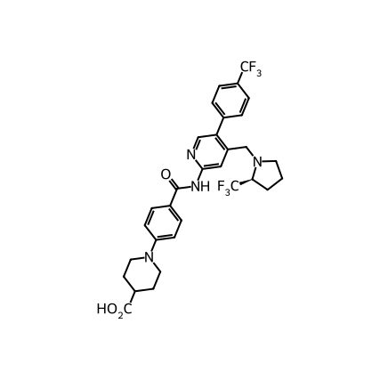 O=C(Nc1cc(CN2CCC[C@H]2C(F)(F)F)c(-c2ccc(C(F)(F)F)cc2)cn1)c1ccc(N2CCC(C(=O)O)CC2)cc1